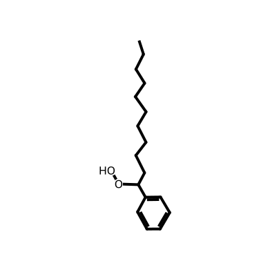 CCCCCCCCCCC(OO)c1ccccc1